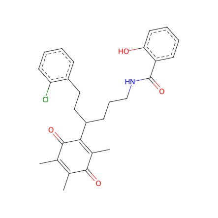 CC1=C(C)C(=O)C(C(CCCNC(=O)c2ccccc2O)CCc2ccccc2Cl)=C(C)C1=O